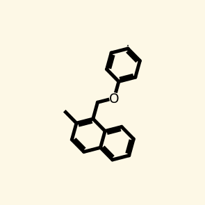 Cc1ccc2ccccc2c1COc1cc[c]cc1